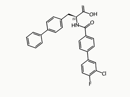 O=C(N[C@@H](Cc1ccc(-c2ccccc2)cc1)C(=O)O)c1ccc(-c2ccc(F)c(Cl)c2)cc1